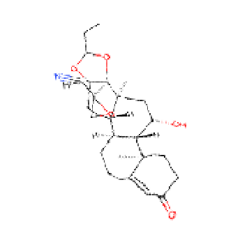 CCC1O[C@@H]2C[C@H]3[C@@H]4CCC5=CC(=O)CC[C@]5(C)[C@H]4[C@@H](O)C[C@]3(C)[C@]2(C2(C#N)CO2)O1